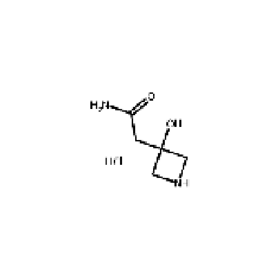 Cl.NC(=O)CC1(O)CNC1